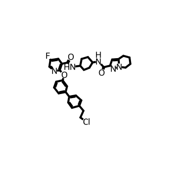 O=C(NC1CCC(NC(=O)c2cc(F)cnc2Oc2cccc(-c3ccc(CCCl)cc3)c2)CC1)c1cc2n(n1)CCCC2